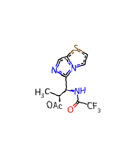 CC(=O)O[C@@H](C)[C@H](NC(=O)C(F)(F)F)c1ncc2sccn12